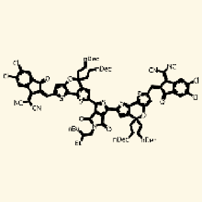 [C-]#[N+]C([N+]#[C-])=C1/C(=C/c2cc3c(s2)-c2sc(-c4sc(-c5cc6c(s5)-c5sc(/C=C7\C(=O)c8cc(Cl)c(Cl)cc8C7=C(C#N)C#N)cc5OC6(CCCCCCCCCCCC)CCCCCCCCCCCC)c5c4C(=O)N(CC(CC)CCCC)C5=O)cc2C(CCCCCCCCCCCC)(CCCCCCCCCCCC)O3)C(=O)c2cc(Cl)c(Cl)cc21